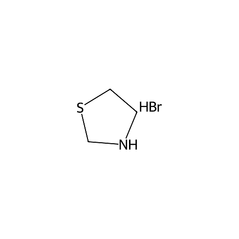 Br.C1CSCN1